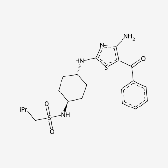 CC(C)CS(=O)(=O)N[C@H]1CC[C@H](Nc2nc(N)c(C(=O)c3ccccc3)s2)CC1